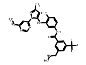 CNc1cc(-n2nc(C)cc2Nc2cc(NC(=O)c3cc(CNO)cc(C(F)(F)F)c3)ccc2C)ncn1